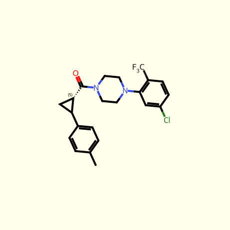 Cc1ccc(C2C[C@@H]2C(=O)N2CCN(c3cc(Cl)ccc3C(F)(F)F)CC2)cc1